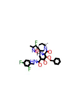 CC1=NO[C@@]2(CC[C@H](C)N3C[C@H]2n2cc(C(=O)NCc4ccc(F)cc4F)c(=O)c(OCc4ccccc4)c2C3=O)C1F